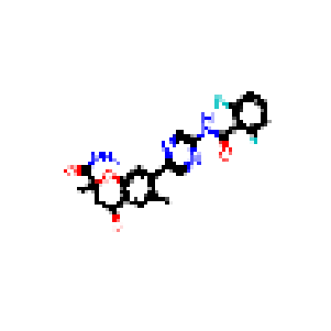 Cc1cc2c(cc1-c1cnc(NC(=O)c3c(F)cccc3F)cn1)OC(C)(C(N)=O)CC2=O